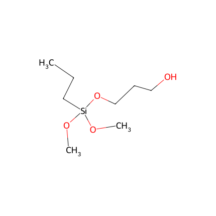 CCC[Si](OC)(OC)OCCCO